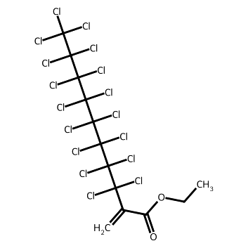 C=C(C(=O)OCC)C(Cl)(Cl)C(Cl)(Cl)C(Cl)(Cl)C(Cl)(Cl)C(Cl)(Cl)C(Cl)(Cl)C(Cl)(Cl)C(Cl)(Cl)Cl